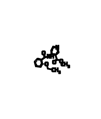 CCOc1ccccc1C(=O)Nc1ccncc1C(=O)OC